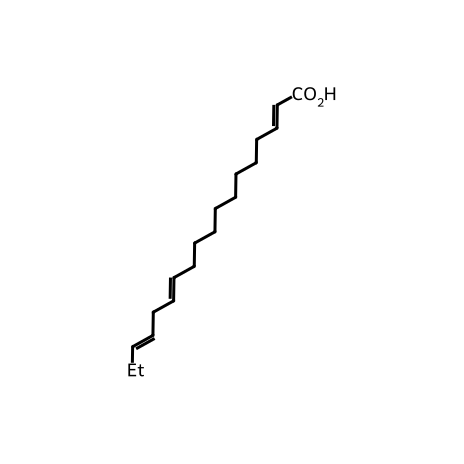 CCC=CCC=CCCCCCCCCC=CC(=O)O